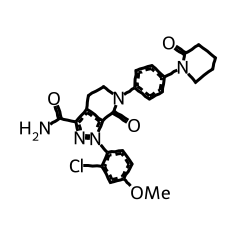 COc1ccc(-n2nc(C(N)=O)c3c2C(=O)N(c2ccc(N4CCCCC4=O)cc2)CC3)c(Cl)c1